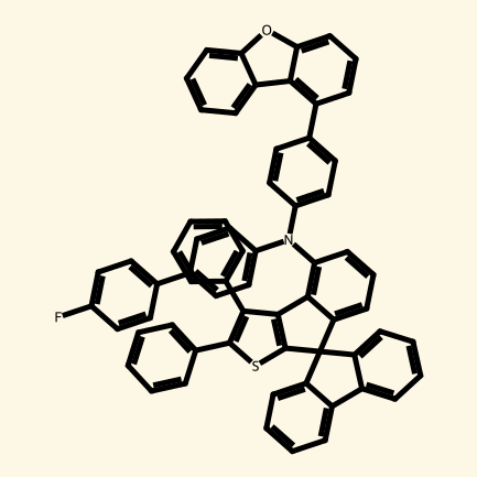 Fc1ccc(-c2ccc(N(c3ccc(-c4cccc5oc6ccccc6c45)cc3)c3cccc4c3-c3c(sc(-c5ccccc5)c3-c3ccccc3)C43c4ccccc4-c4ccccc43)cc2)cc1